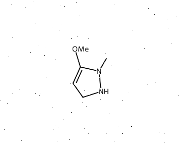 COC1=[C]CNN1C